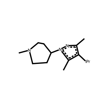 Cc1nn(C2CCN(C)CC2)c(C)c1C(C)C